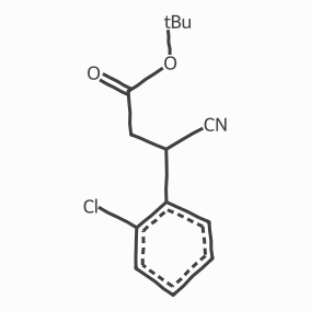 CC(C)(C)OC(=O)CC(C#N)c1ccccc1Cl